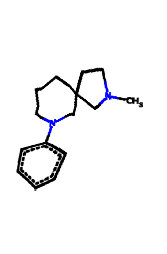 CN1CCC2(CCCN(c3cc[c]cc3)C2)C1